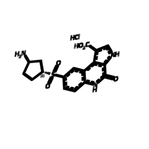 Cl.NC1CC[C@@H](S(=O)(=O)c2ccc3[nH]c(=O)c4[nH]cc(C(=O)O)c4c3c2)C1